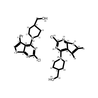 CC(C)c1csc2nc(Cl)nc(N3CCC(CO)CC3)c12.Cc1sc2nc(Cl)nc(N3CCC(CO)CC3)c2c1C